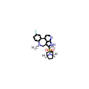 CN1Cc2c(C3=C[C@H]4CC[C@@H](C3)N4S(C)(=O)=O)[nH]c3nccc(c23)-c2cc(F)ccc21